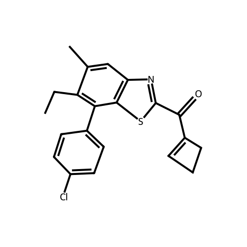 CCc1c(C)cc2nc(C(=O)C3=CCC3)sc2c1-c1ccc(Cl)cc1